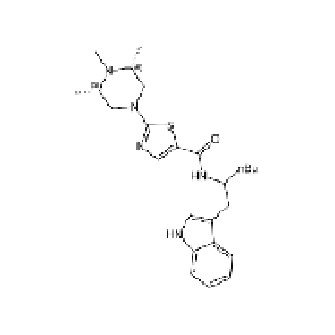 CCCCC(Cc1c[nH]c2ccccc12)NC(=O)c1cnc(N2C[C@@H](C)N(C)[C@@H](C)C2)s1